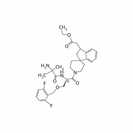 CCOC(=O)CC1CC2(CCN(C(=O)[C@@H](COCc3c(F)cccc3F)NC(=O)C(C)(C)N)CC2)c2ccccc21